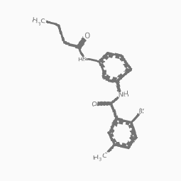 CCCC(=O)Nc1cccc(NC(=O)c2cc(C)ccc2Br)c1